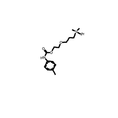 Cc1ccc(NC(=O)OCCOCCC[Si](C)(C)C(C)C)cc1